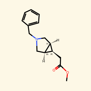 COC(=O)C[C@H]1[C@H]2CN(Cc3ccccc3)C[C@@H]12